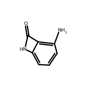 Nc1cccc2c1C(=O)N2